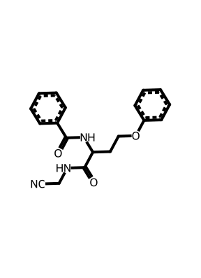 N#CCNC(=O)C(CCOc1ccccc1)NC(=O)c1ccccc1